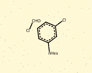 CCCCCCc1cccc(Cl)c1.O=CCl